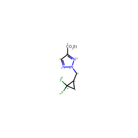 CCOC(=O)c1cnn(CC2CC2(F)F)n1